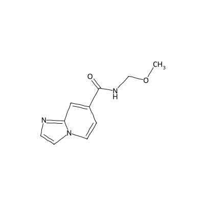 COCNC(=O)c1ccn2ccnc2c1